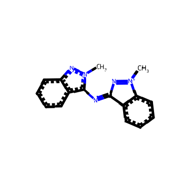 Cn1nc2ccccc2c1/N=C1\N=[N+](C)c2ccccc21